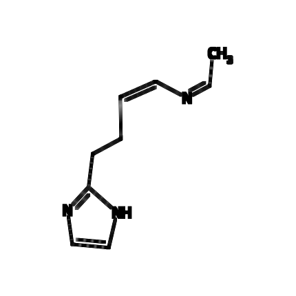 C/C=N\C=C/CCc1ncc[nH]1